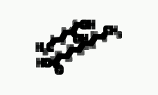 CCCCC(O)CO.CCCCCCCCCC(=O)O